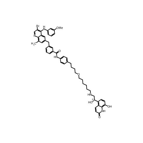 COc1cccc(Nc2c(C(C)=O)cnc3c(C)cc(Cc4cccc(C(=O)Nc5ccc(CCCCOCCCCCCNC[C@H](O)c6ccc(O)c7[nH]c(=O)ccc67)cc5)c4)cc23)c1